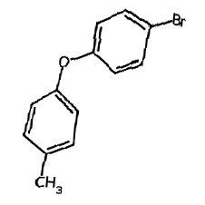 Cc1ccc(Oc2ccc(Br)cc2)cc1